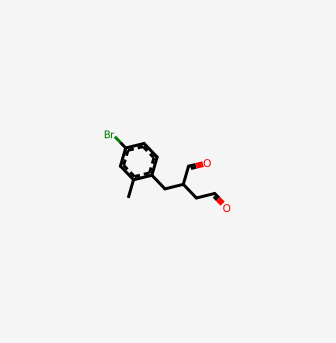 Cc1cc(Br)ccc1CC(C=O)CC=O